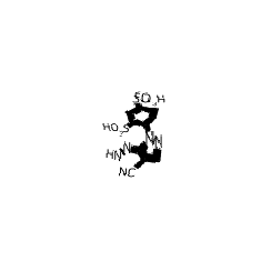 N#Cc1cnn(-c2ccc(S(=O)(=O)O)cc2S(=O)(=O)O)c1N=N